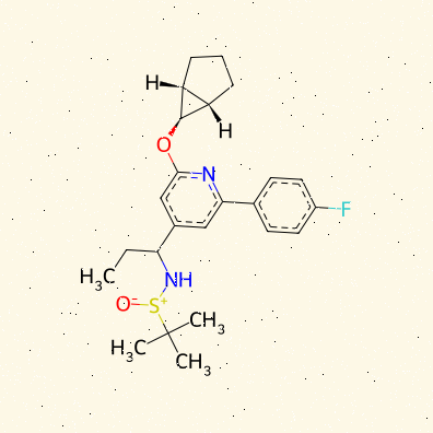 CCC(N[S+]([O-])C(C)(C)C)c1cc(O[C@H]2[C@@H]3CCC[C@@H]32)nc(-c2ccc(F)cc2)c1